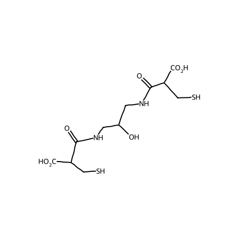 O=C(O)C(CS)C(=O)NCC(O)CNC(=O)C(CS)C(=O)O